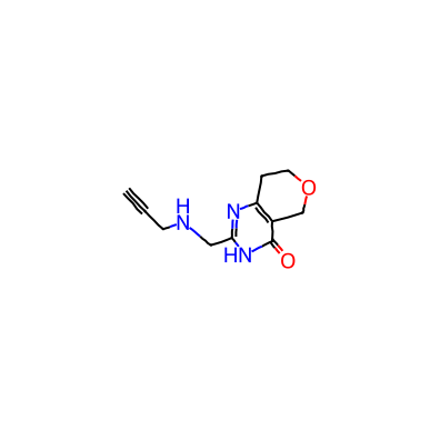 C#CCNCc1nc2c(c(=O)[nH]1)COCC2